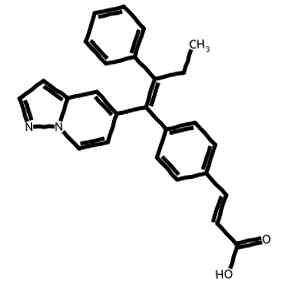 CCC(=C(c1ccc(C=CC(=O)O)cc1)c1ccn2nccc2c1)c1ccccc1